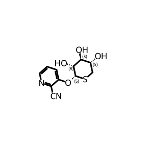 N#Cc1ncccc1O[C@H]1SC[C@@H](O)[C@H](O)[C@H]1O